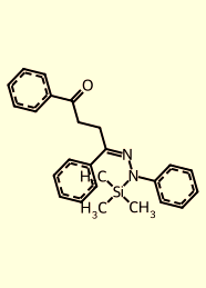 C[Si](C)(C)N(/N=C(/CCC(=O)c1ccccc1)c1ccccc1)c1ccccc1